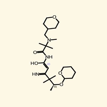 C[C@H](OC1CCCCO1)C(C)(C)C(=N)/C=C(\O)NC(=O)C(C)(C)N(C)CC1CCOCC1